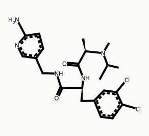 CC(C)N(C)[C@H](C)C(=O)N[C@@H](Cc1ccc(Cl)c(Cl)c1)C(=O)NCc1ccc(N)nc1